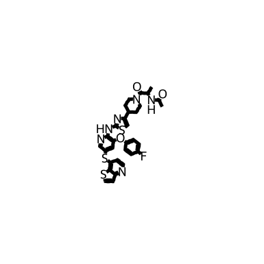 CC(=O)NC(C)C(=O)N1CCC(c2csc(Nc3ncc(Sc4ccnc5ccsc45)cc3Oc3ccc(F)cc3)n2)CC1